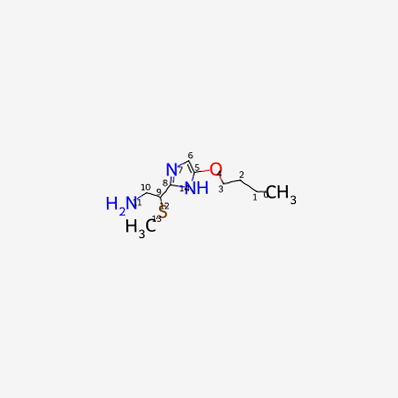 CCCCOc1cnc(C(CN)SC)[nH]1